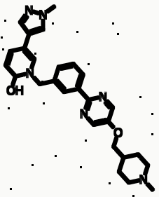 CN1CCC(COc2cnc(-c3cccc(CN4C=C(c5cnn(C)c5)C=CC4O)c3)nc2)CC1